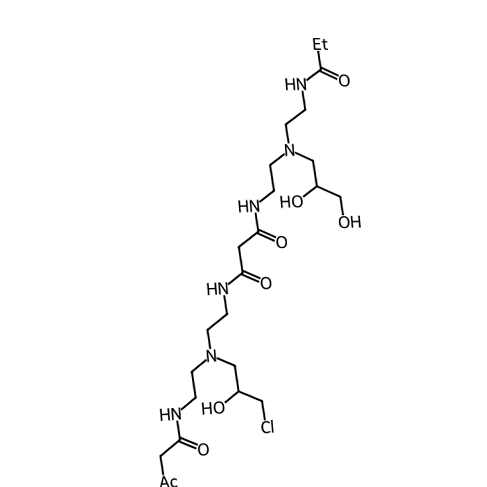 CCC(=O)NCCN(CCNC(=O)CC(=O)NCCN(CCNC(=O)CC(C)=O)CC(O)CCl)CC(O)CO